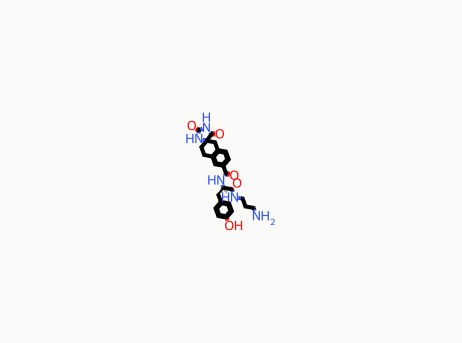 NCCCNC(=O)[C@@H](Cc1ccc(O)cc1)NC(=O)c1ccc2c(c1)CCC1(C2)NC(=O)NC1=O